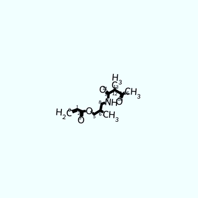 C=CC(=O)OCC(C)CNC(=O)C(C)C(C)=O